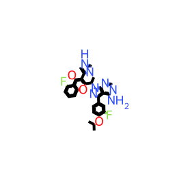 CC(C)Oc1ccc(-c2nn(C(C)c3oc4cccc(F)c4c(=O)c3-c3c[nH]cn3)c3ncnc(N)c23)cc1F